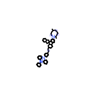 CC1/C=C\C=C/C(C)N(c2ccc3c(c2)C2(CC4C=CC=CC4C2)C2CC(/C=C/c4ccc(N5c6ccccc6N(c6ccccc6)c6ccccc65)cc4)=CC=C32)/C=C\C1